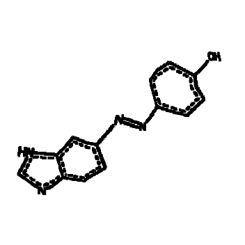 Oc1ccc(/N=N/c2ccc3nc[nH]c3c2)cc1